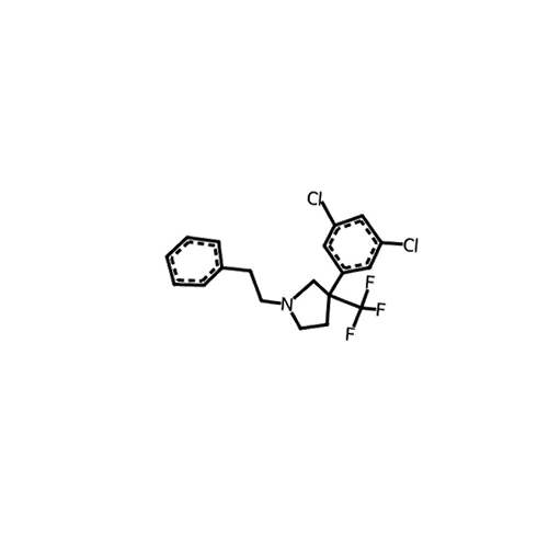 FC(F)(F)C1(c2cc(Cl)cc(Cl)c2)CCN(CCc2ccccc2)C1